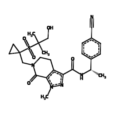 C[C@H](NC(=O)c1nn(C)c2c1CCN(CC1(S(=O)(=O)C(C)(C)CO)CC1)C2=O)c1ccc(C#N)cc1